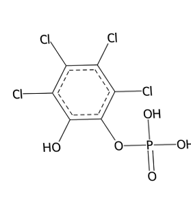 O=P(O)(O)Oc1c(O)c(Cl)c(Cl)c(Cl)c1Cl